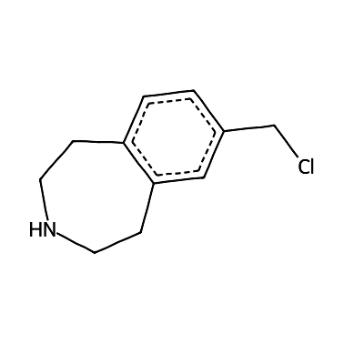 ClCc1ccc2c(c1)CCNCC2